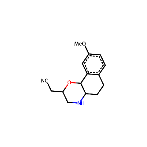 COc1ccc2c(c1)C1OC(CC#N)CNC1CC2